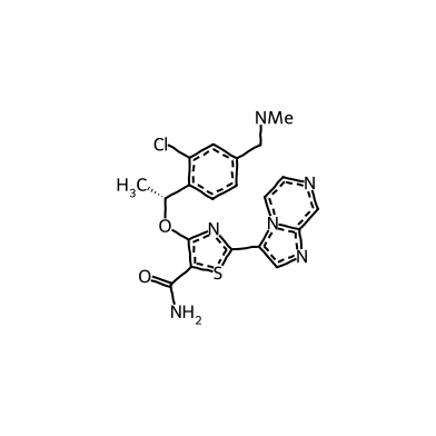 CNCc1ccc([C@@H](C)Oc2nc(-c3cnc4cnccn34)sc2C(N)=O)c(Cl)c1